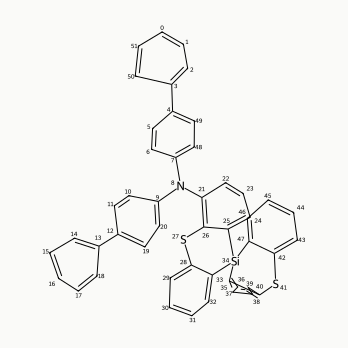 c1ccc(-c2ccc(N(c3ccc(-c4ccccc4)cc3)c3cccc4c3Sc3ccccc3[Si]43c4ccccc4Sc4ccccc43)cc2)cc1